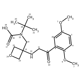 COc1ccc(OC)c(C(=O)CNC2(CN(C(=O)O)C(C)(C)C)COC2)c1